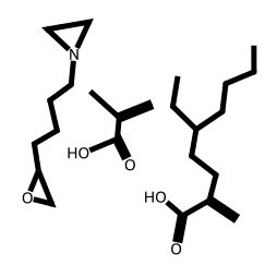 C(CCN1CC1)CC1CO1.C=C(C)C(=O)O.C=C(CCC(CC)CCCC)C(=O)O